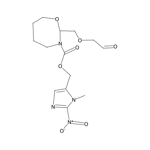 Cn1c(COC(=O)N2CCCCOC2COCC=O)cnc1[N+](=O)[O-]